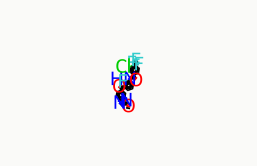 COc1cnc2ccc(C(=O)c3cccc(NC(=O)c4ccc(C(F)(F)F)c(Cl)c4)c3F)cc2n1